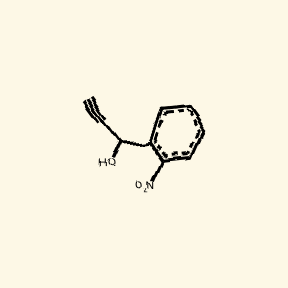 C#CC(O)c1ccccc1[N+](=O)[O-]